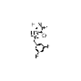 C[C@H](N)C(=O)NC(C)(C)Cc1cc(F)cc(F)c1